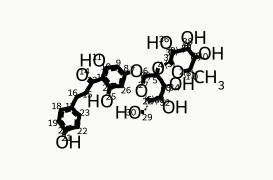 C[C@@H]1O[C@@H](OC2[C@@H](Oc3cc(O)c(C(=O)CCc4ccc(O)cc4)c(O)c3)O[C@@H](CO)[C@H](O)[C@H]2O)[C@H](O)[C@H](O)[C@H]1O